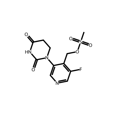 CS(=O)(=O)OCc1c(F)cncc1N1CCC(=O)NC1=O